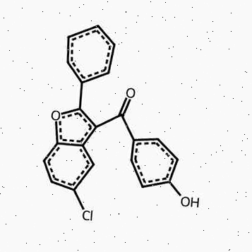 O=C(c1ccc(O)cc1)c1c(-c2ccccc2)oc2ccc(Cl)cc12